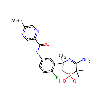 COc1cnc(C(=O)Nc2ccc(F)c([C@]3(C(F)(F)F)CS(O)(O)C(C)(C)C(N)=N3)c2)cn1